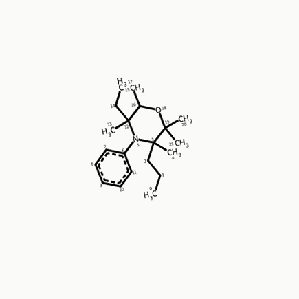 CCCC1(C)N(c2ccccc2)C(C)(CC)C(C)OC1(C)C